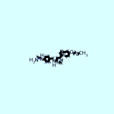 COCCOc1ccn2c(-c3cc(NCc4ccc(N/C=C\N)cc4)ncn3)cnc2c1